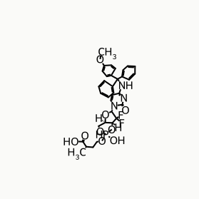 COc1ccc(C(Nc2ccn([C@@H]3O[C@@H]4CO[PH](O)(OCC[C@H](C)C(=O)O)O[C@H]4C3(F)F)c(=O)n2)(c2ccccc2)c2ccccc2)cc1